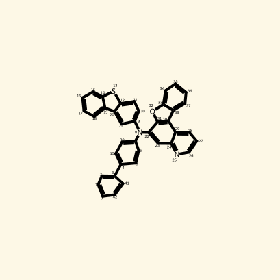 c1ccc(-c2ccc(N(c3ccc4sc5ccccc5c4c3)c3cc4ncccc4c4c3oc3ccccc34)cc2)cc1